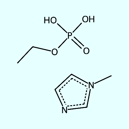 CCOP(=O)(O)O.Cn1ccnc1